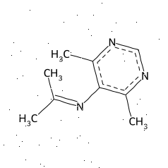 CC(C)=Nc1c(C)ncnc1C